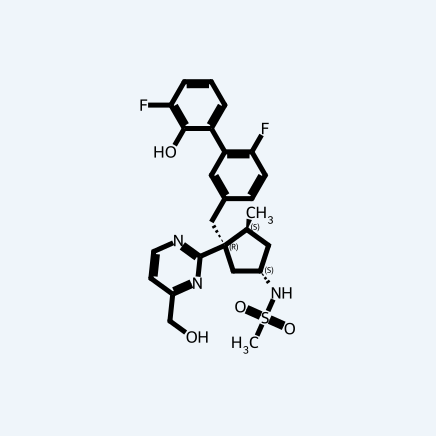 C[C@H]1C[C@H](NS(C)(=O)=O)C[C@@]1(Cc1ccc(F)c(-c2cccc(F)c2O)c1)c1nccc(CO)n1